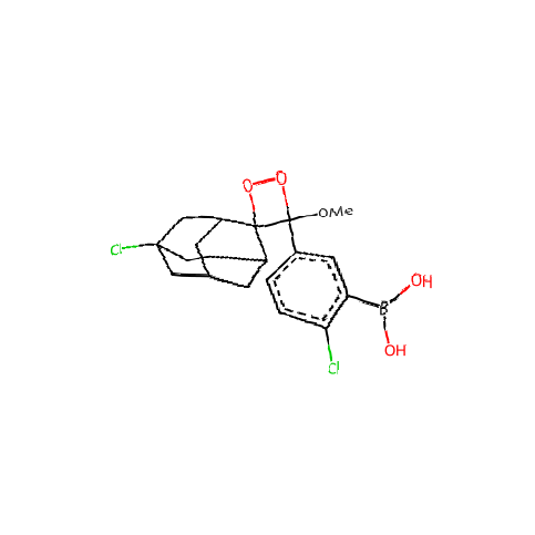 COC1(c2ccc(Cl)c(B(O)O)c2)OOC12C1CC3CC2CC(Cl)(C3)C1